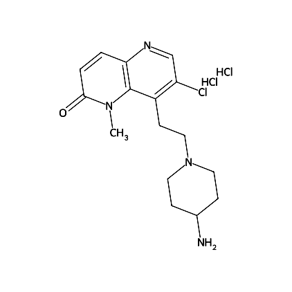 Cl.Cl.Cn1c(=O)ccc2ncc(Cl)c(CCN3CCC(N)CC3)c21